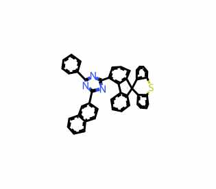 c1ccc(-c2nc(-c3ccc4ccccc4c3)nc(-c3cccc4c3-c3ccccc3C43c4ccccc4Sc4ccccc43)n2)cc1